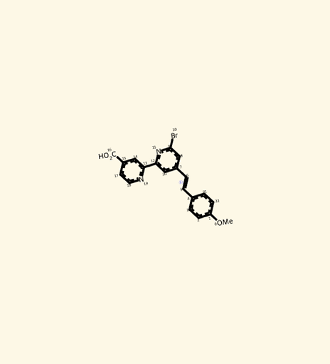 COc1ccc(/C=C/c2cc(Br)nc(-c3cc(C(=O)O)ccn3)c2)cc1